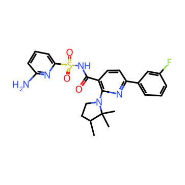 CC1CCN(c2nc(-c3cccc(F)c3)ccc2C(=O)NS(=O)(=O)c2cccc(N)n2)C1(C)C